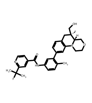 Cc1ccc(NC(=O)c2ccnc(C(C)(C)F)c2)cc1-c1ccc2c(c1)N1CCOC[C@H]1[C@](F)(CO)C2